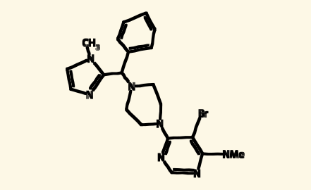 CNc1ncnc(N2CCN(C(c3ccccc3)c3nccn3C)CC2)c1Br